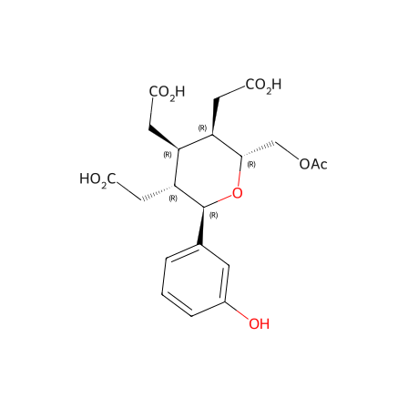 CC(=O)OC[C@@H]1O[C@@H](c2cccc(O)c2)[C@H](CC(=O)O)[C@@H](CC(=O)O)[C@H]1CC(=O)O